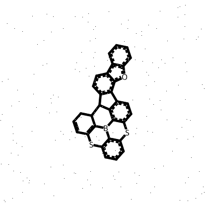 C1=CC2=C3B4c5c(cccc5Sc5ccc6c(c54)C(c4ccc5c(oc7ccccc75)c4-6)C3C1)S2